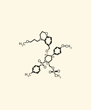 COCCCN1CCOc2ccc(CO[C@H]3CN(S(=O)(=O)c4ccc(C)cc4)[C@H](COS(C)(=O)=O)C[C@@H]3c3ccc(OC)cc3)cc21